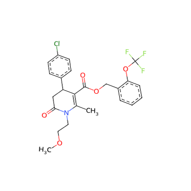 COCCN1C(=O)CC(c2ccc(Cl)cc2)C(C(=O)OCc2ccccc2OC(F)(F)F)=C1C